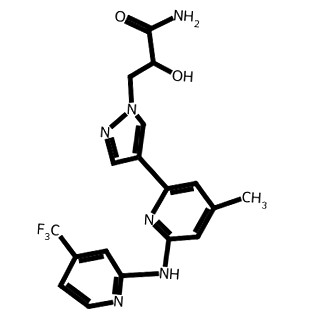 Cc1cc(Nc2cc(C(F)(F)F)ccn2)nc(-c2cnn(CC(O)C(N)=O)c2)c1